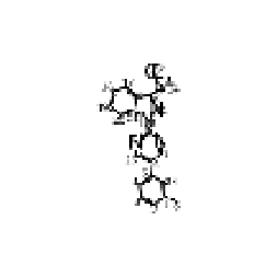 Cc1cccc(-c2cnc(-n3nc([S+](C)[O-])c4cc[c]cc43)nc2)c1